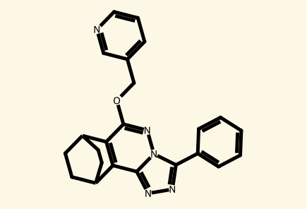 c1ccc(-c2nnc3c4c(c(OCc5cccnc5)nn23)C2CCC4CC2)cc1